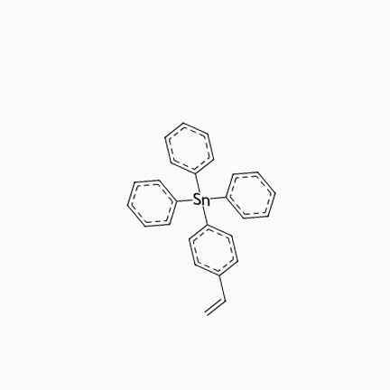 C=Cc1cc[c]([Sn]([c]2ccccc2)([c]2ccccc2)[c]2ccccc2)cc1